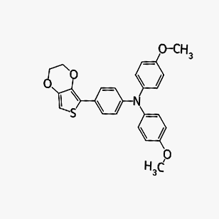 COc1ccc(N(c2ccc(OC)cc2)c2ccc(-c3scc4c3OCCO4)cc2)cc1